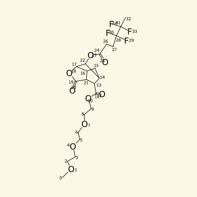 COCCOCCOCCOC(=O)C1C2CC3C(OC(=O)C31)C2OC(=O)CCC(F)(F)C(C)(F)F